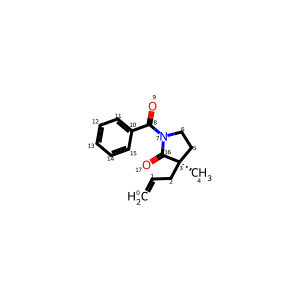 C=CC[C@]1(C)CCN(C(=O)c2ccccc2)C1=O